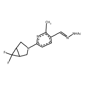 CC(=O)NN=Cc1ccc(N2CC3C(C2)C3(F)F)nc1C